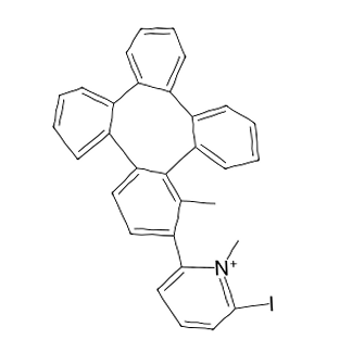 Cc1c(-c2cccc(I)[n+]2C)ccc2c1-c1ccccc1-c1ccccc1-c1ccccc1-2